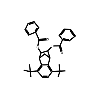 CC(C)(C)c1ccc(C(C)(C)C)c2c1C1CC2C(OC(=O)c2ccccc2)C1OC(=O)c1ccccc1